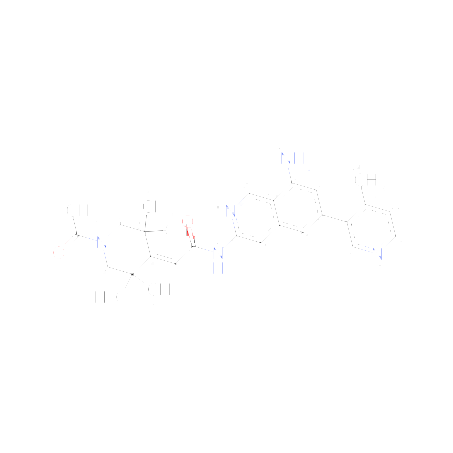 CC(=O)N1CC(C)(C)C(=CC(=O)Nc2cc3cc(-c4cnccc4C)cc(N)c3cn2)C(C)(C)C1